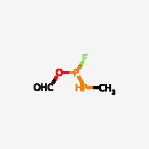 CPP(F)OC=O